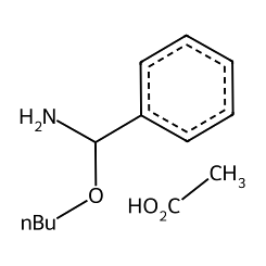 CC(=O)O.CCCCOC(N)c1ccccc1